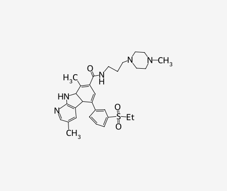 CCS(=O)(=O)c1cccc(C2=CC(C(=O)NCCCN3CCN(C)CC3)=C(C)C3Nc4ncc(C)cc4C23)c1